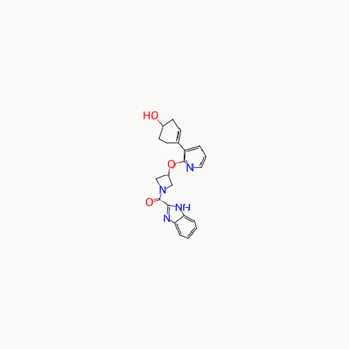 O=C(c1nc2ccccc2[nH]1)N1CC(Oc2ncccc2C2=CCC(O)CC2)C1